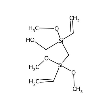 C=C[Si](CO)(C[Si](C=C)(OC)OC)OC